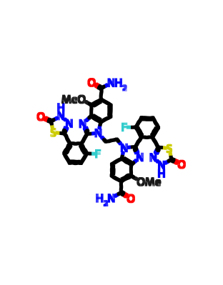 COc1c(C(N)=O)ccc2c1nc(-c1c(F)cccc1-c1n[nH]c(=O)s1)n2CCn1c(-c2c(F)cccc2-c2n[nH]c(=O)s2)nc2c(OC)c(C(N)=O)ccc21